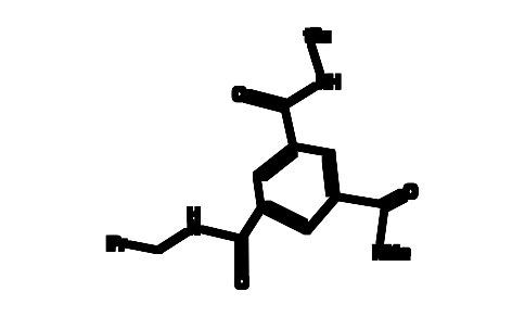 CNC(=O)c1cc(C(=O)NCC(C)C)cc(C(=O)NC(C)(C)C)c1